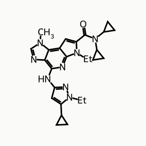 CCn1nc(Nc2nc3c(cc(C(=O)N(C4CC4)C4CC4)n3CC)c3c2ncn3C)cc1C1CC1